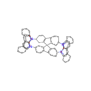 C1=Cc2c(n(-c3ccc4c(c3)C3(C5=C4C=CC(n4c6ccccc6c6ccccc64)C5)c4cc(-n5c6ccccc6c6ccccc65)ccc4-c4ccc(-n5c6ccccc6c6ccccc65)cc43)c3ccccc23)CC1